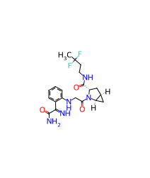 CC(F)(F)CCNC(=O)[C@@H]1C[C@H]2C[C@H]2N1C(=O)CNc1ccccc1C(=N)C(N)=O